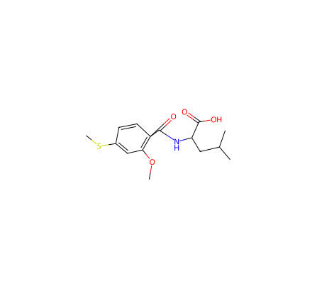 COc1cc(SC)ccc1C(=O)NC(CC(C)C)C(=O)O